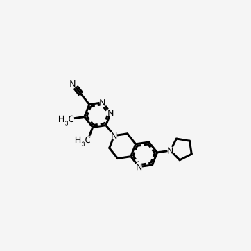 Cc1c(C#N)nnc(N2CCc3ncc(N4CCCC4)cc3C2)c1C